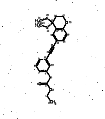 CCOC(=O)Cc1cccc(C#Cc2ccc3c(c2)C(SC)(SC)CCO3)c1